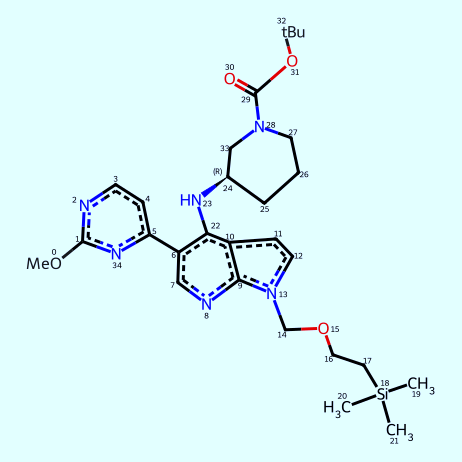 COc1nccc(-c2cnc3c(ccn3COCC[Si](C)(C)C)c2N[C@@H]2CCCN(C(=O)OC(C)(C)C)C2)n1